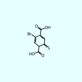 O=C(O)C1=CC(=S)C(C(=O)O)C=C1Br